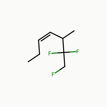 CC/C=C\C(C)C(F)(F)CF